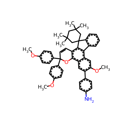 COc1ccc(C2(c3ccc(OC)cc3)C=Cc3c4c(c5cc(OC)c(-c6ccc(N)cc6)cc5c3O2)-c2ccccc2C42CC(C)(C)CC(C)(C)C2)cc1